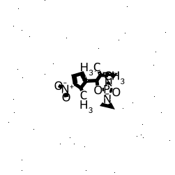 CC1C(C(OP(=O)(N2CC2)N2CC2)C(C)C)=CC=C1[N+](=O)[O-]